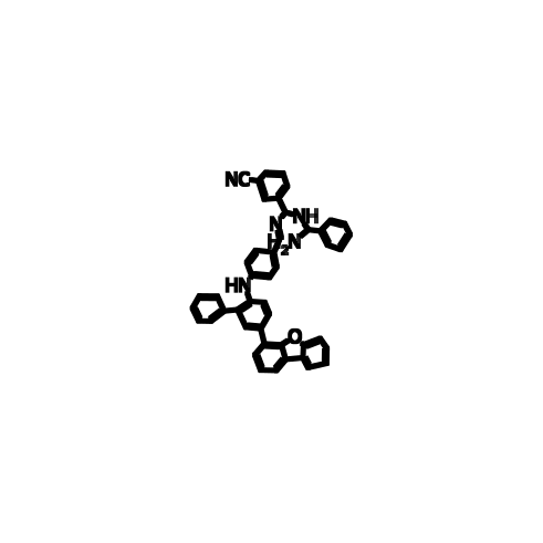 N#Cc1cccc(C(/N=C/c2ccc(Nc3ccc(-c4cccc5c4oc4ccccc45)cc3-c3ccccc3)cc2)NC(N)c2ccccc2)c1